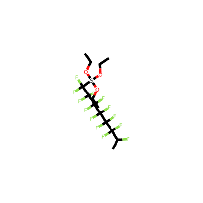 CCO[Si](OCC)(OCC)C(F)(F)C(F)(F)C(F)(F)C(F)(F)C(F)(F)C(F)(F)C(C)F